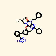 CC(C)Cn1c(=O)c2c(nc(C3CCCCC3)n2Cc2ccc(-c3ccccc3-c3nnn[nH]3)cc2)n(CCc2ccccc2)c1=O